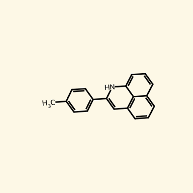 Cc1ccc(C2=Cc3cccc4cccc(c34)N2)cc1